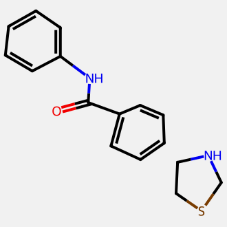 C1CSCN1.O=C(Nc1ccccc1)c1ccccc1